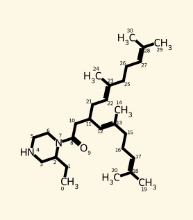 CCC1CNCCN1C(=O)CC(/C=C(\C)CCC=C(C)C)C/C=C(\C)CCC=C(C)C